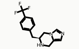 FC(F)(F)c1ccc(C[C@H]2Cn3cncc3CN2)cc1